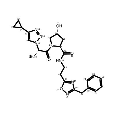 CC(C)(C)[C@@H](C(=O)N1C[C@H](O)C[C@H]1C(=O)NCCc1nc(Cc2ccccc2)no1)n1cc(C2CC2)nn1